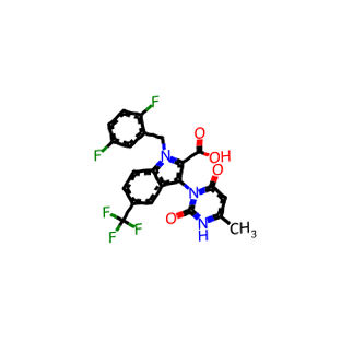 Cc1cc(=O)n(-c2c(C(=O)O)n(Cc3cc(F)ccc3F)c3ccc(C(F)(F)F)cc23)c(=O)[nH]1